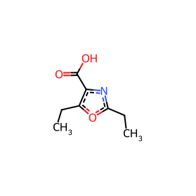 CCc1nc(C(=O)O)c(CC)o1